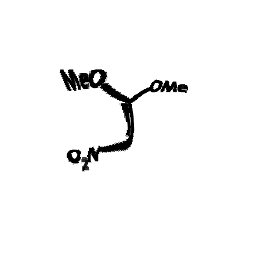 COC(=C[N+](=O)[O-])OC